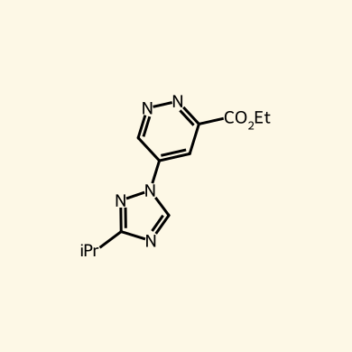 CCOC(=O)c1cc(-n2cnc(C(C)C)n2)cnn1